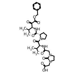 CC(C)[C@H](NC(=O)[C@@H]1CCCN1C(=O)[C@@H](NC(=O)CN1CCN(CC(=O)O)C1=O)C(C)C)C(=O)C(=O)OCc1ccccc1